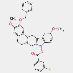 COc1ccc2c(c1)c1c(n2OC(=O)c2cccc(F)c2)CN2CCc3cc(OC)c(OCc4ccccc4)cc3C2C1